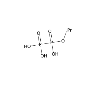 CC(C)OP(=O)(O)P(=O)(O)O